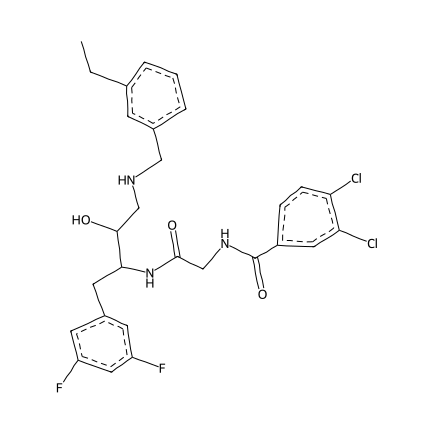 CCc1cccc(CNCC(O)C(Cc2cc(F)cc(F)c2)NC(=O)CNC(=O)c2ccc(Cl)c(Cl)c2)c1